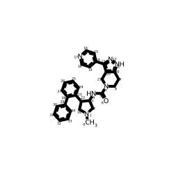 CN1CC(NC(=O)N2CCc3[nH]nc(-c4ccncc4)c3C2)C(c2ccccc2-c2ccccc2)C1